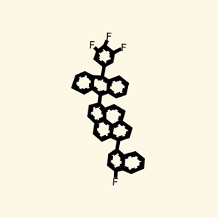 Fc1cc(-c2c3ccccc3c(-c3ccc4ccc5c(-c6ccc(F)c7ccccc67)ccc6ccc3c4c65)c3ccccc23)cc(F)c1F